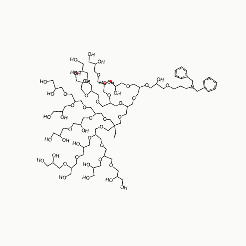 CCC(COCC(COCC(COCC(O)CO)OCC(O)CO)OCC(O)COCC(O)CO)(COCC(COCC(COCC(O)CO)OCC(O)CO)OCC(O)COCC(CO)OCC(O)CO)COCC(COCC(COCC(O)CO)OCC(O)COCCCN(Cc1ccccc1)Cc1ccccc1)OCC(COCC(COCC(O)CO)OCC(O)CO)OCC(O)COCC(O)CO